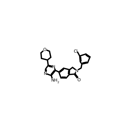 Nc1ncc(C2CCOCC2)nc1-c1ccc2c(c1)CN(Cc1cccc(Cl)c1)C2=O